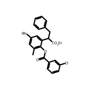 CCOC(=O)C(Cc1ccccc1)c1cc(C(C)(C)C)cc(C)c1OC(=O)c1cccc(Cl)c1